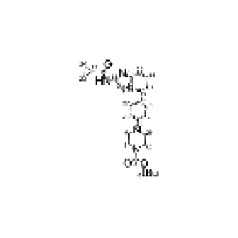 CC(C)(C)OC(=O)N1CCN(c2ccc(-c3cccc4nc(NC(=O)C5CC5)nn34)cc2)CC1